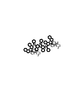 CC1(C)c2ccc3ccccc3c2-c2c1cc(N(c1ccccc1)c1cc3c(c4ccccc14)c1c4ccccc4c(N(c4ccccc4)c4cc5c(c6ccccc46)-c4c(ccc6ccccc46)C5(C)C)cc1n3-c1ccccc1)c1ccccc21